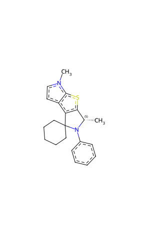 C[C@H]1c2sc3c(ccn3C)c2C2(CCCCC2)N1c1ccccc1